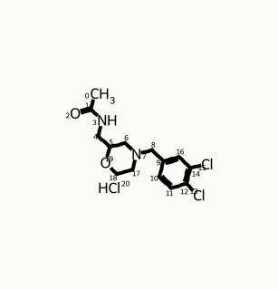 CC(=O)NCC1CN(Cc2ccc(Cl)c(Cl)c2)CCO1.Cl